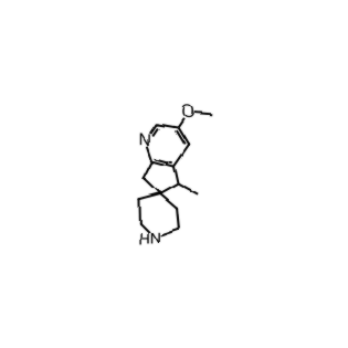 COc1cnc2c(c1)C(C)C1(CCNCC1)C2